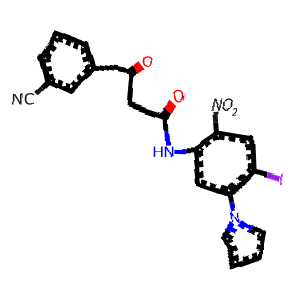 N#Cc1cccc(C(=O)CC(=O)Nc2cc(-n3cccc3)c(I)cc2[N+](=O)[O-])c1